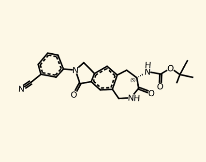 CC(C)(C)OC(=O)N[C@H]1Cc2cc3c(cc2CNC1=O)C(=O)N(c1cccc(C#N)c1)C3